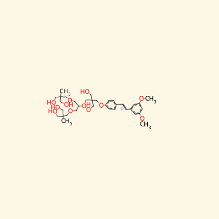 COc1cc(/C=C/c2ccc(OCC(CO)(CO)COC(COCC(C)(CO)CO)COCC(C)(CO)CO)cc2)cc(OC)c1